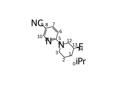 CC(C)[C@@H]1CCN(c2ccc(C#N)cn2)C[C@H]1F